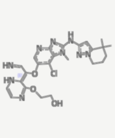 Cn1c(Nc2cc3n(n2)CCCC3(C)C)nc2ncc(O/C(C=N)=C3/NC=CN=C3OCCO)c(Cl)c21